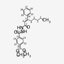 CCCCC/C(=C\C(=O)NNC(=O)c1ccc(C(OC)OC)cc1)c1ccccc1